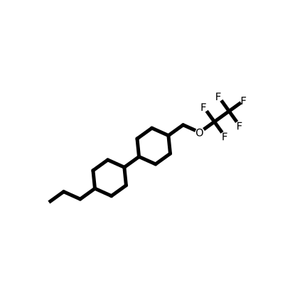 CCCC1CCC(C2CCC(COC(F)(F)C(F)(F)F)CC2)CC1